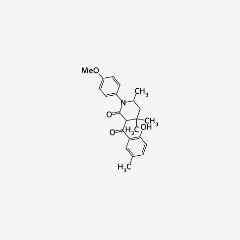 COc1ccc(N2C(=O)C(C(=O)c3cc(C)ccc3O)C(C)(C)CC2C)cc1